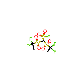 CC(F)(F)S(=O)(=O)C(S(=O)(=O)F)S(=O)(=O)C(C)(F)F